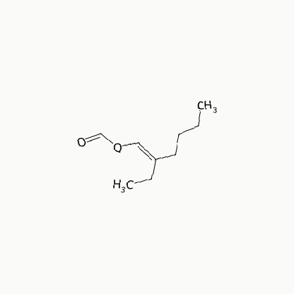 CCCCC(=COC=O)CC